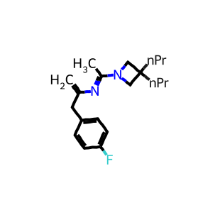 C=C(Cc1ccc(F)cc1)/N=C(\C)N1CC(CCC)(CCC)C1